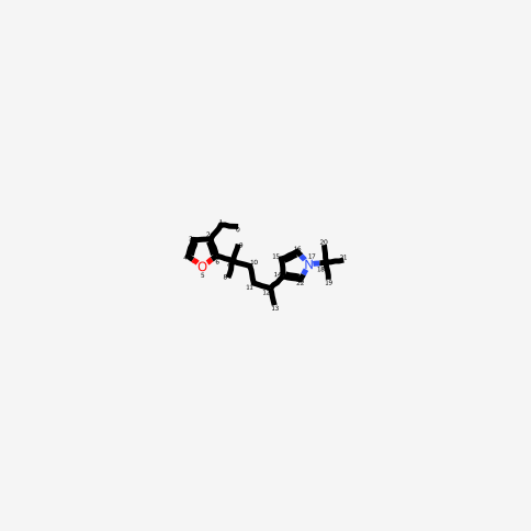 CCc1ccoc1C(C)(C)CCC(C)c1ccn(C(C)(C)C)c1